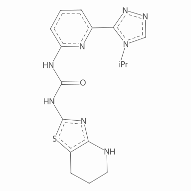 CC(C)n1cnnc1-c1cccc(NC(=O)Nc2nc3c(s2)CCCN3)n1